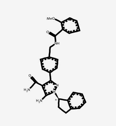 COc1ccccc1C(=O)NCc1ccc(-c2nn([C@@H]3CCc4ccccc43)c(N)c2C(N)=O)cc1